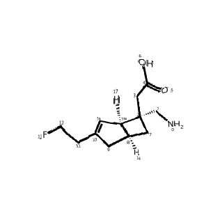 NC[C@]1(CC(=O)O)C[C@H]2CC(CCF)=C[C@H]21